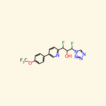 OC(C(F)c1ccc(-c2ccc(OC(F)(F)F)cc2)cn1)C(F)n1cnnn1